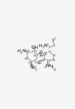 NC(CF)[C@@H]1CC[C@@H](N)[C@@H](O[C@H]2[C@H](O)[C@@H](O)[C@H](N)C[C@@H]2N)O1